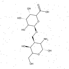 NC1[C@H](O)OC(CO)[C@@H](O)[C@H]1CO[C@@H]1OC(C(=O)O)[C@@H](O)[C@@H](O)C1O